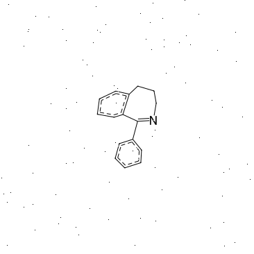 c1ccc(C2=NCCCc3ccccc32)cc1